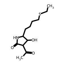 CCSCCCCC1NC(=O)C(C(C)=O)C1O